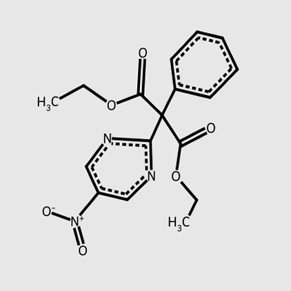 CCOC(=O)C(C(=O)OCC)(c1ccccc1)c1ncc([N+](=O)[O-])cn1